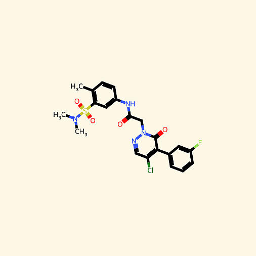 Cc1ccc(NC(=O)Cn2ncc(Cl)c(-c3cccc(F)c3)c2=O)cc1S(=O)(=O)N(C)C